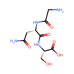 NCC(=O)N[C@@H](CC(N)=O)C(=O)N[C@@H](CO)C(=O)O